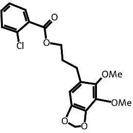 COc1c(CCCOC(=O)c2ccccc2Cl)cc2c(c1OC)OCO2